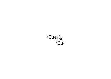 [Cu].[Cu].[Ni].[Si]